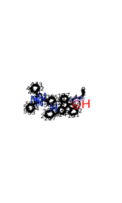 C#C/C=C\C=C/CC1(c2ccccc2O)c2ccccc2-c2c1ccc1c3ccccc3n(-c3cccc(-c4nc(-c5ccccc5)nc(-c5ccccc5)n4)c3)c21